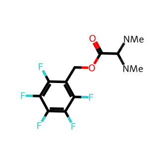 CNC(NC)C(=O)OCc1c(F)c(F)c(F)c(F)c1F